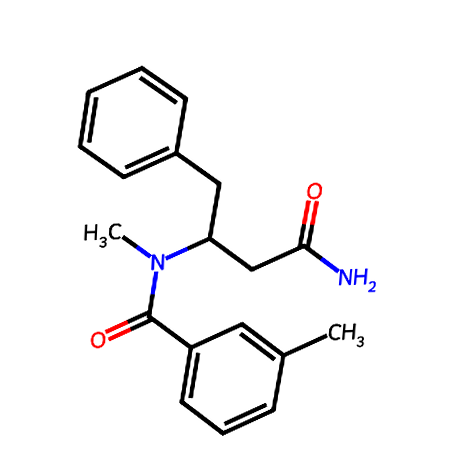 Cc1cccc(C(=O)N(C)C(CC(N)=O)Cc2ccccc2)c1